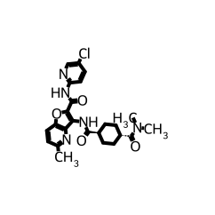 Cc1ccc2oc(C(=O)Nc3ccc(Cl)cn3)c(NC(=O)[C@H]3CC[C@H](C(=O)N(C)C)CC3)c2n1